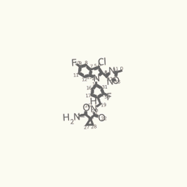 Cc1nc(-c2c(Cl)c3cc(F)ccc3n2-c2ccc(CNC(=O)C3(C(N)=O)CC3)c(F)c2)no1